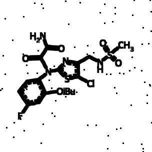 CC(C)COc1cc(F)ccc1N(C(=O)C(N)=O)c1nc(CNS(C)(=O)=O)c(Cl)s1